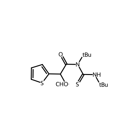 CC(C)(C)NC(=S)N(C(=O)C([C]=O)c1cccs1)C(C)(C)C